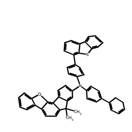 CC1(C)c2cc(N(c3ccc(C4=CC=CCC4)cc3)c3ccc(-c4cccc5c4sc4ccccc45)cc3)ccc2-c2c1ccc1c2oc2ccccc21